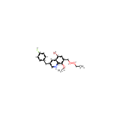 CCOOCc1cc(Br)c2cc(Cc3ccc(F)cc3)cnc2c1OC